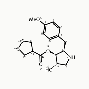 COc1ccc(C[C@H]2NC[C@H](O)[C@H]2OC(=O)C2CSSC2)cc1